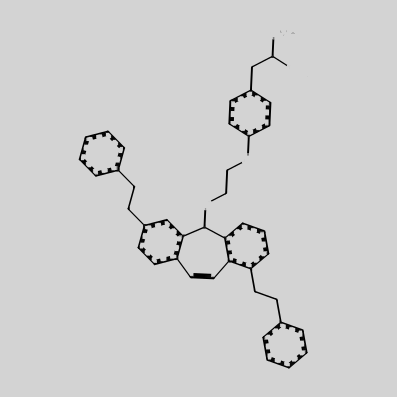 COC(Cc1ccc(OCCOC2c3cc(CCc4ccccc4)ccc3C=Cc3c(CCc4ccccc4)cccc32)cc1)C(=O)O